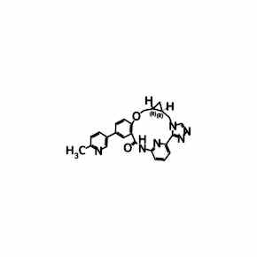 Cc1ccc(-c2ccc3c(c2)C(=O)Nc2cccc(n2)-c2nncn2C[C@@H]2C[C@H]2CO3)cn1